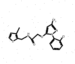 Cc1ccsc1CNC(=O)COc1cc(C(F)(F)F)nn1-c1ccccc1Cl